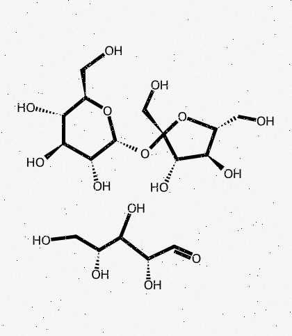 O=C[C@H](O)C(O)[C@H](O)CO.OC[C@H]1O[C@@](CO)(O[C@H]2O[C@H](CO)[C@@H](O)[C@H](O)[C@H]2O)[C@@H](O)[C@@H]1O